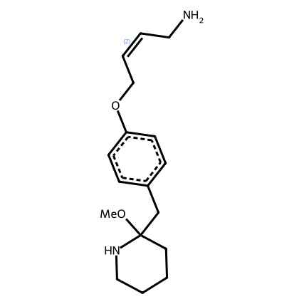 COC1(Cc2ccc(OC/C=C\CN)cc2)CCCCN1